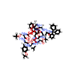 CC(C)C[C@H](NC(=O)[C@H](Cc1ccc(OC(C)(C)C)cc1)NC(=O)[C@H](COC(C)(C)C)NC(=O)OCC1c2ccccc2-c2ccccc21)C(=O)N[C@@H](CCC(=O)OC(C)(C)C)C(=O)NCC(=O)N[C@@H](CCC(=O)NC(c1ccccc1)(c1ccccc1)c1ccccc1)C(=O)N[C@@H](C)C(=O)N[C@@H](C)C(=O)N[C@@H](CCCCN)C(=O)O